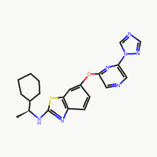 C[C@H](Nc1nc2ccc(Oc3cncc(-n4cncn4)n3)cc2s1)C1CCCCC1